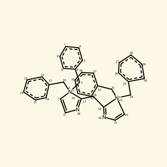 C1=C[N+](Cc2ccccc2)(Cc2ccccc2)C(CC2=NC=C[N+]2(Cc2ccccc2)Cc2ccccc2)=N1